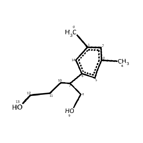 Cc1cc(C)cc(C(CO)CCCO)c1